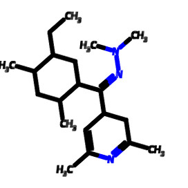 CCC1CC(/C(=N\N(C)C)C2C=C(C)N=C(C)C2)C(C)CC1C